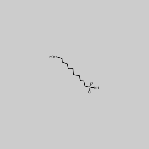 CCCCCCCCCCCCCCCCCCS([NH])(=O)=O